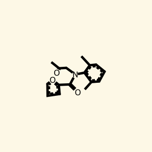 CC(=O)CN(C(=O)c1ccco1)c1c(C)cccc1C